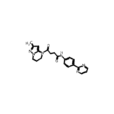 Cc1cc2n(n1)CCCN2C(=O)CCC(=O)Nc1ccc(-c2ncccn2)cc1